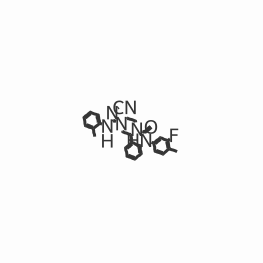 Cc1ccc(NC(=O)N2CCN(/C(=N\C#N)Nc3ccccc3C)CC2c2ccccc2)cc1F